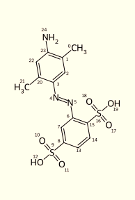 Cc1cc(N=Nc2cc(S(=O)(=O)O)ccc2S(=O)(=O)O)c(C)cc1N